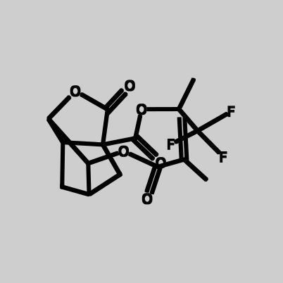 C=C(C)C(=O)OC1C2CC3C1OC(=O)C3(C(=O)OC(C)C(F)(F)F)C2